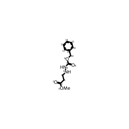 COC(=O)CCNNC(=O)OCc1ccccc1